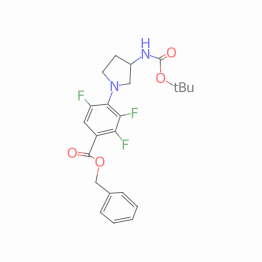 CC(C)(C)OC(=O)NC1CCN(c2c(F)cc(C(=O)OCc3ccccc3)c(F)c2F)C1